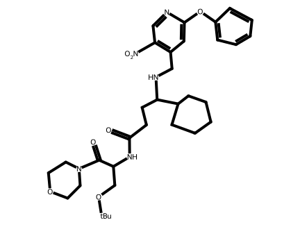 CC(C)(C)OCC(NC(=O)CCC(NCc1cc(Oc2ccccc2)ncc1[N+](=O)[O-])C1CCCCC1)C(=O)N1CCOCC1